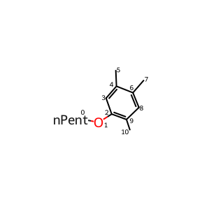 CCCCCOc1cc(C)c(C)cc1C